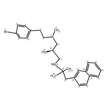 CN(CCc1ccc(Br)cc1)C[C@H](O)CNC(C)(C)Cc1ccc2ccccc2c1